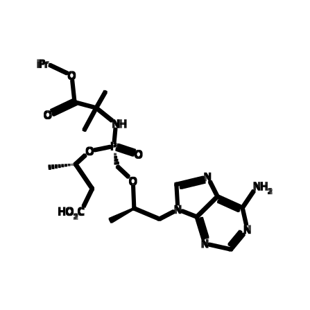 CC(C)OC(=O)C(C)(C)N[P@](=O)(CO[C@H](C)Cn1cnc2c(N)ncnc21)O[C@@H](C)CC(=O)O